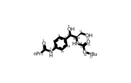 CCCC(=O)Nc1ccc(C(O)[C@@H](CO)NC(=O)OC(C)(C)C)cc1